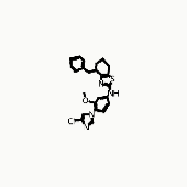 COc1cc(Nc2nc3c(s2)CCCC3Cc2ccccc2)ccc1-n1cnc(Cl)c1